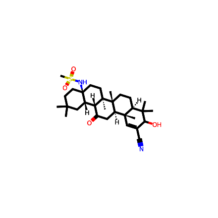 CC1(C)CC[C@]2(NS(C)(=O)=O)CC[C@]3(C)[C@H](C(=O)C[C@@H]4[C@@]5(C)C=C(C#N)C(O)C(C)(C)[C@@H]5CC[C@]43C)[C@@H]2C1